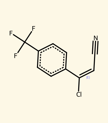 N#C/C=C(/Cl)c1ccc(C(F)(F)F)cc1